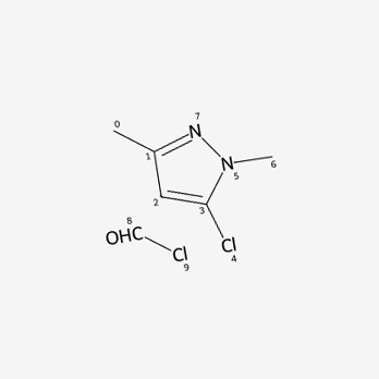 Cc1cc(Cl)n(C)n1.O=CCl